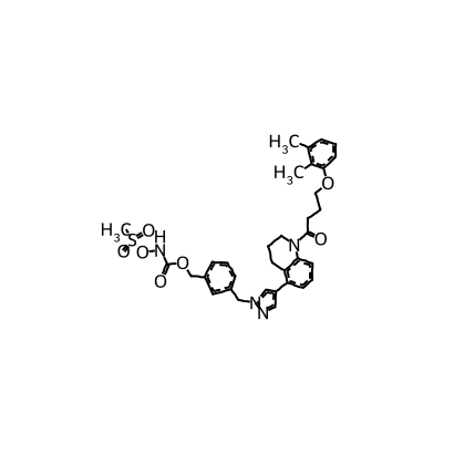 Cc1cccc(OCCCC(=O)N2CCCc3c(-c4cnn(Cc5cccc(COC(=O)NOS(C)(=O)=O)c5)c4)cccc32)c1C